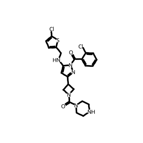 O=C(N1CCNCC1)N1CC(c2cc(NCc3ccc(Cl)s3)n(C(=O)c3ccccc3Cl)n2)C1